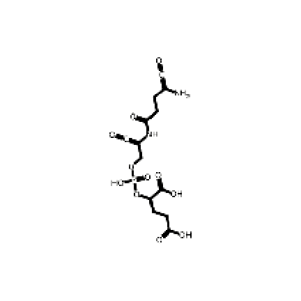 NC(=C=O)CCC(=O)NC(=C=O)COP(=O)(O)OC(CCC(=O)O)C(=O)O